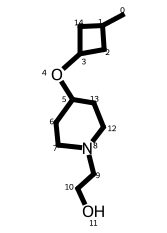 CC1CC(OC2CCN(CCO)CC2)C1